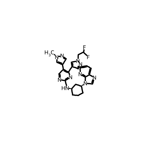 Cn1cc(-c2cnc(N[C@@H]3CCC[C@H](n4cnc5cccnc54)C3)nc2-c2cnn(CC(F)F)c2)cn1